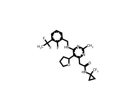 Cc1nc(CC(=O)NC2(C(F)(F)F)CC2)c(C2CCCO2)c(NCc2cccc(C(C)(F)F)c2F)n1